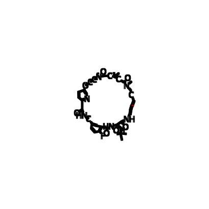 CN1CCOc2ccc(nc2)C(=O)NCc2ccc(F)c(c2)C(=O)N[C@](O)(CC(C)(C)C)C(=O)Nc2ccc(cc2)CCN(C)C(=O)CC(C)(C)CC1=O